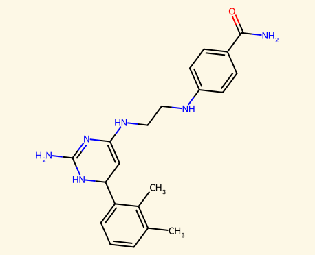 Cc1cccc(C2C=C(NCCNc3ccc(C(N)=O)cc3)N=C(N)N2)c1C